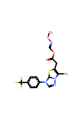 CO/N=C/OC(=O)CC1=C(C)N2N=CN(c3ccc(C(F)(F)F)cc3)C2S1